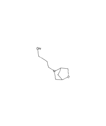 OCCCN1CC2CC1CO2